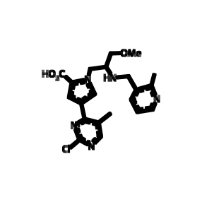 COCC(Cn1cc(-c2nc(Cl)ncc2C)cc1C(=O)O)NCc1cccnc1C